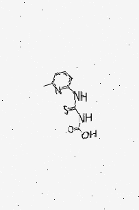 Cc1cccc(NC(=S)NC(=O)O)n1